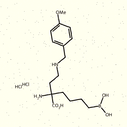 COc1ccc(CNCCC(N)(CCCCB(O)O)C(=O)O)cc1.Cl.Cl